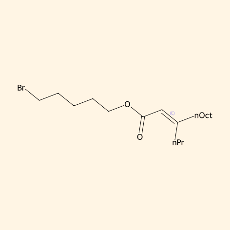 CCCCCCCC/C(=C/C(=O)OCCCCCBr)CCC